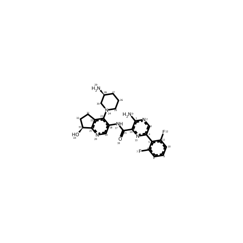 Nc1ncc(-c2c(F)cccc2F)nc1C(=O)Nc1cnc2c(c1N1CCC[C@H](N)C1)CC[C@@H]2O